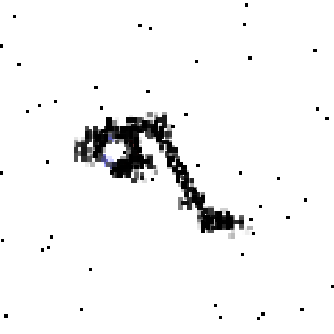 CO[C@H]1C[C@@H]2CC[C@@H](C)[C@@](O)(O2)C(=O)C(=O)N2CCCC[C@H]2C(=O)O[C@H]([C@H](N)C[C@@H]2CC[C@@H](OCCC(C)(C)Cc3cn(CCOCCOCCOCCOCCOCCOCCOCCOCCC(=O)NCCCCn4nc(-c5ccc6oc(N)nc6c5)c5c(N)ncnc54)nn3)[C@H](OC)C2)CC(=O)[C@H](C)/C=C(\C)[C@@H](O)[C@@H](O)C(=O)[C@H](C)C[C@H](C)/C=C/C=C/C=C/1C